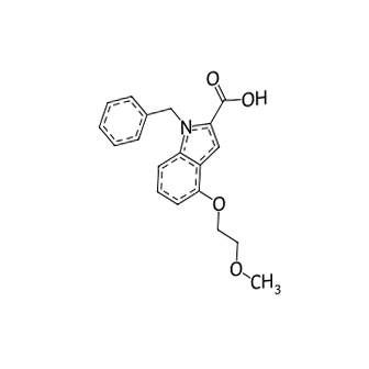 COCCOc1cccc2c1cc(C(=O)O)n2Cc1ccccc1